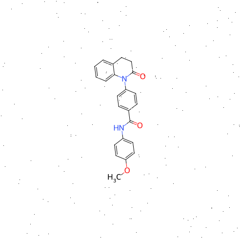 COc1ccc(NC(=O)c2ccc(N3C(=O)CCc4ccccc43)cc2)cc1